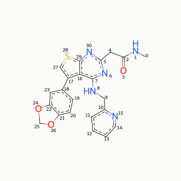 CNC(=O)Cc1nc(NCc2ccccn2)c2c(-c3ccc4c(c3)OCO4)csc2n1